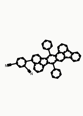 N#Cc1ccc(-c2ccc3c4c(-c5ccccc5)c5c(cc6c7ccccc7c7cccc5c76)c(-c5ccccc5)c4c4cccc2c43)c(C#N)c1